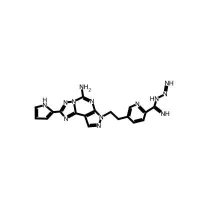 N=NNC(=N)c1ccc(CCn2ncc3c2nc(N)n2nc(-c4ccc[nH]4)nc32)cn1